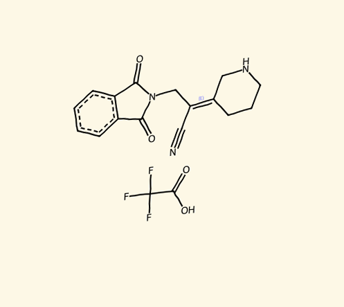 N#C/C(CN1C(=O)c2ccccc2C1=O)=C1\CCCNC1.O=C(O)C(F)(F)F